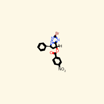 [2H][C@@]1(OC(=O)c2ccc([N+](=O)[O-])cc2)C[C@@H](c2ccccc2)n2nc(Br)nc21